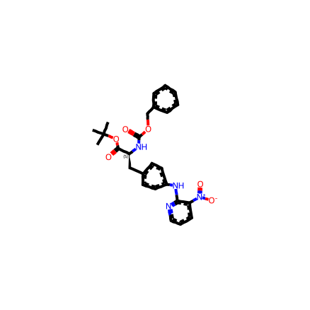 CC(C)(C)OC(=O)[C@H](Cc1ccc(Nc2ncccc2[N+](=O)[O-])cc1)NC(=O)OCc1ccccc1